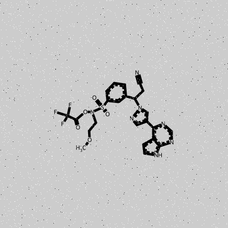 COCCN(OC(=O)C(F)(F)F)S(=O)(=O)c1cccc(C(CC#N)n2cc(-c3ncnc4[nH]ccc34)cn2)c1